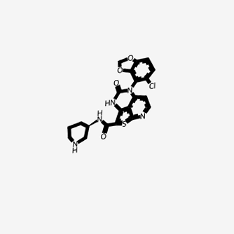 O=C(N[C@@H]1CCCNC1)c1sc2nccc3c2c1NC(=O)N3c1c(Cl)ccc2c1OCO2